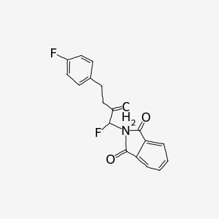 C=C(CCc1ccc(F)cc1)C(F)N1C(=O)c2ccccc2C1=O